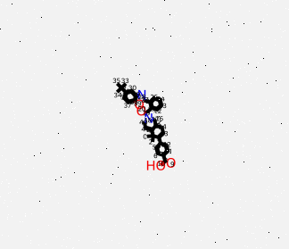 CC1(C)C(c2ccc(C(=O)O)cc2)=CC[C@]2(C)CN(C(=O)c3ccccc3-c3nc4cc(C(C)(C)C)ccc4o3)CC=C12